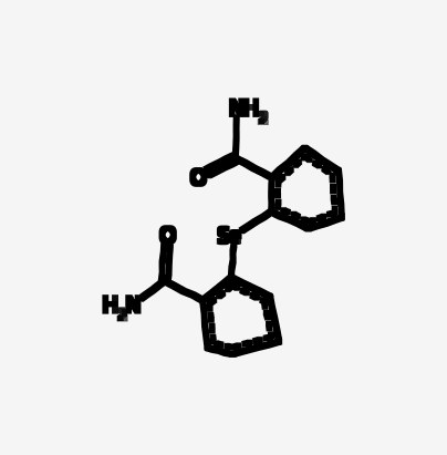 NC(=O)c1ccccc1[Se]c1ccccc1C(N)=O